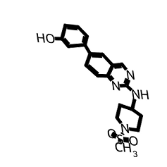 CS(=O)(=O)N1CCC(Nc2ncc3cc(-c4cccc(O)c4)ccc3n2)CC1